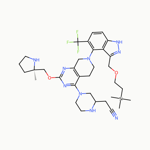 C[C@]1(COc2nc3c(c(N4CCNC(CC#N)C4)n2)CCN(c2c(C(F)(F)F)ccc4[nH]nc(COCC[Si](C)(C)C)c24)C3)CCCN1